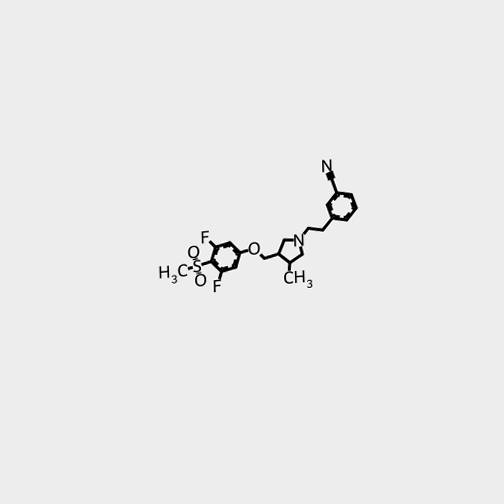 CC1CN(CCc2cccc(C#N)c2)CC1COc1cc(F)c(S(C)(=O)=O)c(F)c1